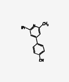 Cc1cc(-c2ccc(C#N)cc2)cc(C(C)C)n1